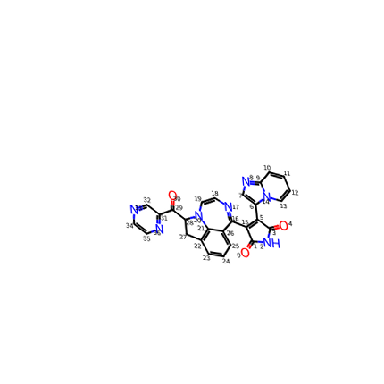 O=C1NC(=O)C(c2cnc3ccccn23)=C1C1=NC=CN2c3c(cccc31)CC2C(=O)c1cnccn1